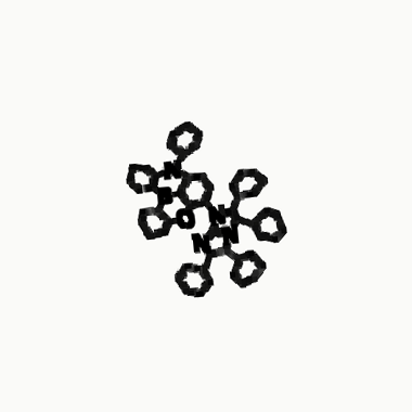 c1ccc(-c2nc3n(-c4ccc5c6c4Oc4ccccc4B6c4ccccc4N5c4ccccc4)c(-c4ccccc4)c(-c4ccccc4)n3c2-c2ccccc2)cc1